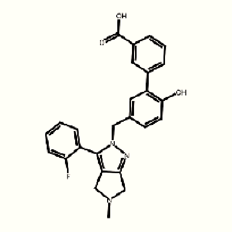 CN1Cc2nn(Cc3ccc(O)c(-c4cccc(C(=O)O)c4)c3)c(-c3ccccc3F)c2C1